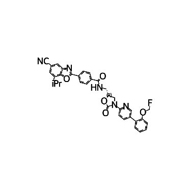 CC(C)c1cc(C#N)cc2nc(-c3ccc(C(=O)NC[C@@H]4CN(c5ccc(-c6ccccc6OCF)cn5)C(=O)O4)cc3)oc12